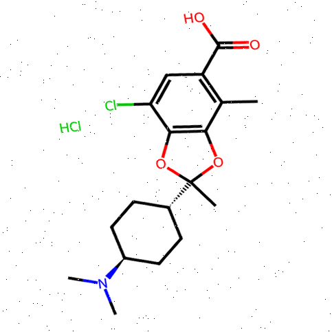 Cc1c(C(=O)O)cc(Cl)c2c1OC(C)([C@H]1CC[C@H](N(C)C)CC1)O2.Cl